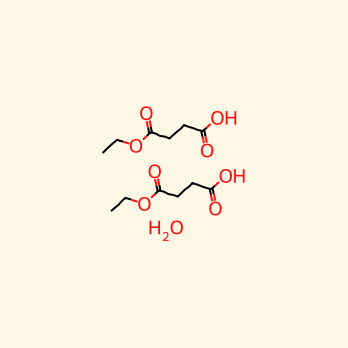 CCOC(=O)CCC(=O)O.CCOC(=O)CCC(=O)O.O